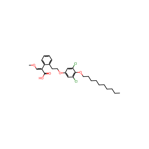 CCCCCCCCCCOc1c(Cl)cc(OCCc2ccccc2/C(=C\OC)C(=O)O)cc1Cl